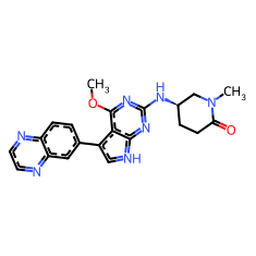 COc1nc(N[C@@H]2CCC(=O)N(C)C2)nc2[nH]cc(-c3ccc4nccnc4c3)c12